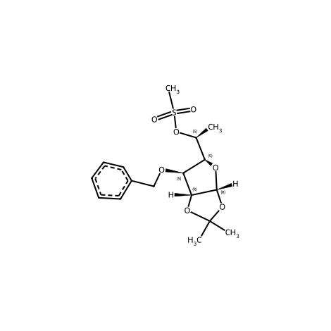 C[C@H](OS(C)(=O)=O)[C@H]1O[C@@H]2OC(C)(C)O[C@@H]2[C@H]1OCc1ccccc1